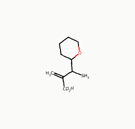 C=C(C(=O)O)C([SiH3])C1CCCCO1